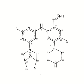 Cc1nc(Nc2cc(C3CCNCC3)c(C)cc2C=N)cc(N2CC3CCC(C2)O3)n1